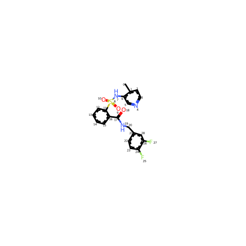 Cc1ccncc1NS(=O)(=O)c1ccccc1C(=O)NCc1ccc(F)c(F)c1